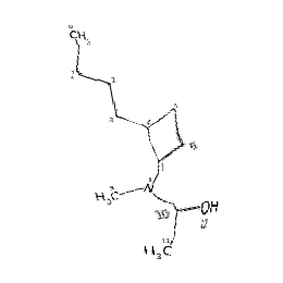 CCCCC1CCC1N(C)C(C)O